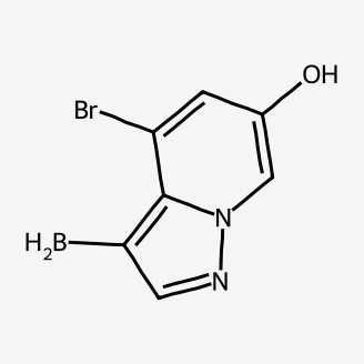 Bc1cnn2cc(O)cc(Br)c12